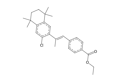 CCOC(=O)c1ccc(C=C(C)c2cc3c(cc2Cl)C(C)(C)CCC3(C)C)cc1